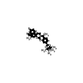 C[C@@H](c1ccc(B2OC(C)(C)C(C)(C)O2)cc1)N1CCC(CC(C)(C)C#N)(c2ccc(F)cc2)OC1=O